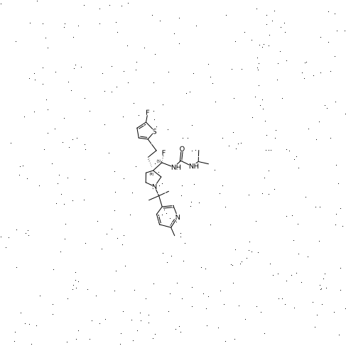 Cc1ccc(C(C)(C)N2CC[C@@](CCc3ccc(F)s3)([C@H](F)NC(=O)NC(C)C)C2)cn1